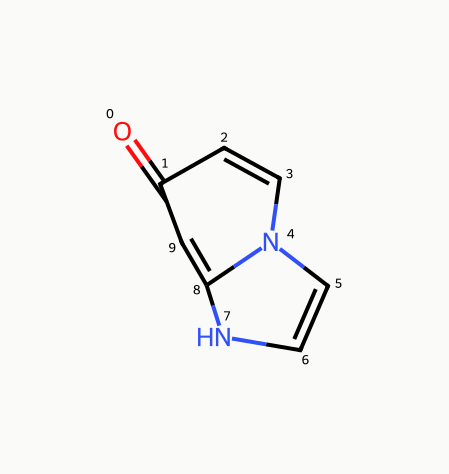 O=c1ccn2cc[nH]c2c1